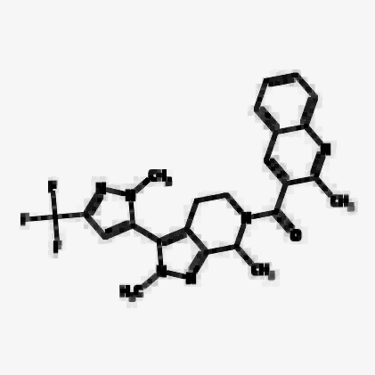 Cc1nc2ccccc2cc1C(=O)N1CCc2c(nn(C)c2-c2cc(C(F)(F)F)nn2C)C1C